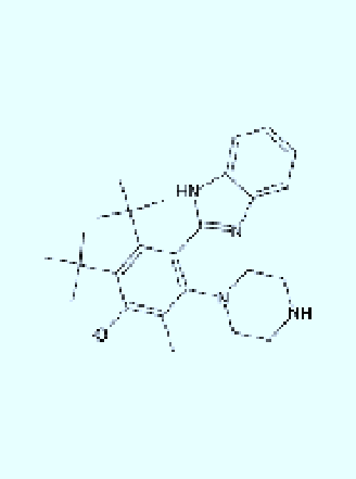 Cc1c([O])c(C(C)(C)C)c(C(C)(C)C)c(-c2nc3ccccc3[nH]2)c1N1CCNCC1